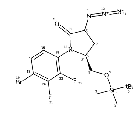 CC(C)(C)[Si](C)(C)OC[C@@H]1CC(N=[N+]=[N-])C(=O)N1c1ccc(Br)c(F)c1F